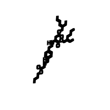 CCCCOC(=O)CNCc1ccc(CCNC(CC(=O)OCC(CC)CCCC)C(=O)OCC(CC)CCCC)cc1